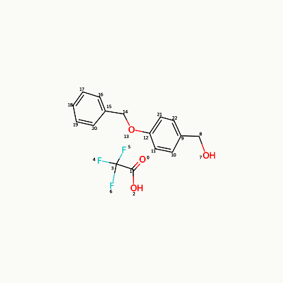 O=C(O)C(F)(F)F.OCc1ccc(OCc2ccccc2)cc1